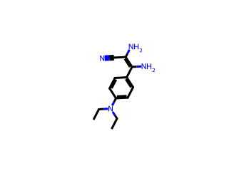 CCN(CC)c1ccc(/C(N)=C(/N)C#N)cc1